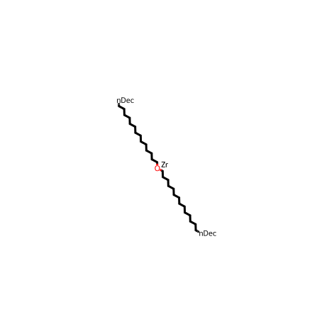 CCCCCCCCCCCCCCCCCCCCCCCCOCCCCCCCCCCCCCCCCCCCCCCCC.[Zr]